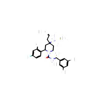 C=CCC1(N[S+]([O-])C(C)(C)C)CCN(C(=O)N(C)[C@H](C)c2cc(C(F)(F)F)cc(C(F)(F)F)c2)C(c2ccc(F)cc2C)C1